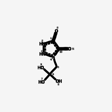 O=c1[nH][nH]n(CC(O)(O)O)c1=O